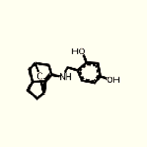 Oc1ccc(CNC2=C3C4CCC3CC(C2)C4)c(O)c1